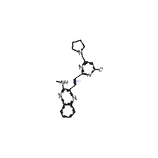 CNc1nc2ccccc2nc1/C=C/c1nc(Cl)cc(N2CCCC2)n1